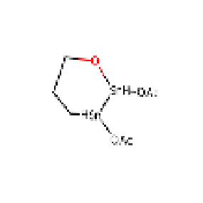 CC(=O)[O][SnH]1[CH2]CC[O][SnH]1[O]C(C)=O